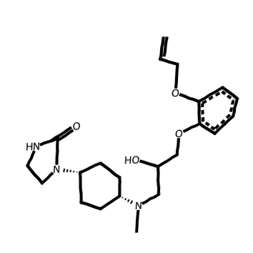 C=CCOc1ccccc1OCC(O)CN(C)[C@H]1CC[C@@H](N2CCNC2=O)CC1